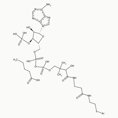 CC(=O)SCCNC(=O)CCNC(=O)C(O)C(C)(C)COP(=O)(O)OP(=O)(O)OC[C@H]1O[C@@H](n2cnc3c(N)ncnc32)[C@H](O)[C@@H]1OP(=O)(O)O.CCCCC(=O)O